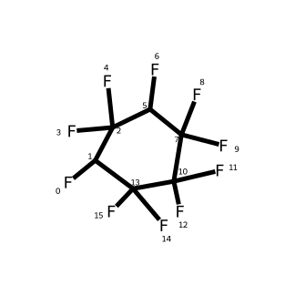 FC1C(F)(F)C(F)C(F)(F)C(F)(F)C1(F)F